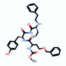 CC(C)C[C@H](NCCc1ccccc1)C(=O)NC(=O)[C@H](Cc1ccc(O)cc1)NC(=O)C(CCOCc1ccccc1)NC(=O)OC(C)(C)C